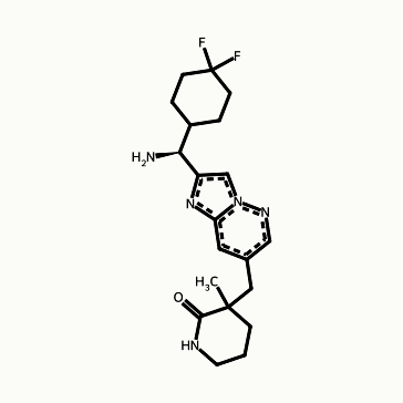 CC1(Cc2cnn3cc([C@@H](N)C4CCC(F)(F)CC4)nc3c2)CCCNC1=O